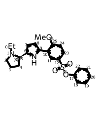 CCN1CCC[C@@H]1c1ccc(-c2cc(S(=O)(=O)Oc3ccccc3)ccc2OC)[nH]1